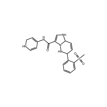 CS(=O)(=O)c1ccccc1C1C=CC2NC=C(C(=O)NC3=CCNC=C3)N2N1